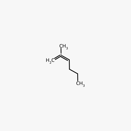 C=I(/C)=C\CCC